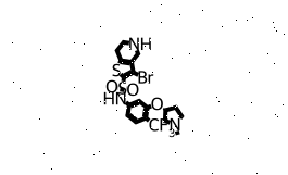 CN1CC[C@@H](Oc2cc(NS(=O)(=O)c3sc4c(c3Br)CNCC4)ccc2C(F)(F)F)C1